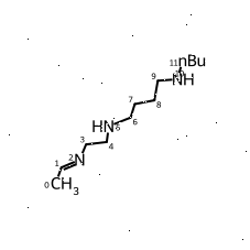 C/C=N/CCNCCCCNCCCC